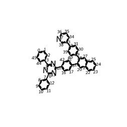 c1ccc(-c2nc(-c3ccccc3)nc(-c3ccc(-c4cc5ccccc5cc4-c4ccc(-c5cccnc5)cc4)cc3)n2)cc1